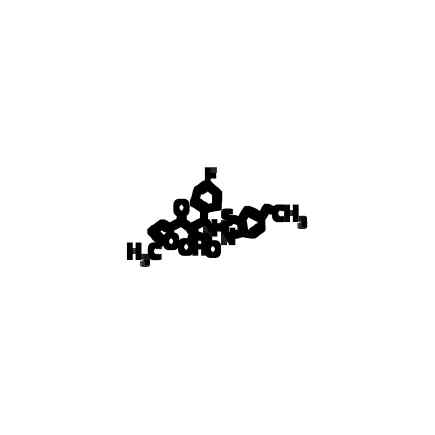 CCc1ccc2nc(N3C(=O)C(O)=C(C(=O)c4ccc(C)o4)C3c3ccc(F)cc3)sc2c1